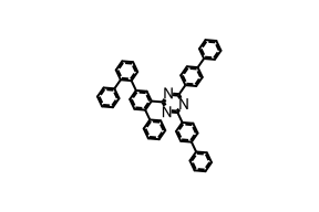 c1ccc(-c2ccc(-c3nc(-c4ccc(-c5ccccc5)cc4)nc(-c4cc(-c5ccccc5-c5ccccc5)ccc4-c4ccccc4)n3)cc2)cc1